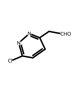 O=CCc1ccc(Cl)nn1